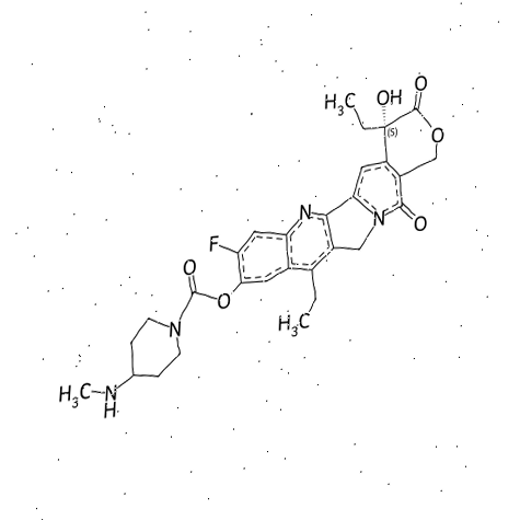 CCc1c2c(nc3cc(F)c(OC(=O)N4CCC(NC)CC4)cc13)-c1cc3c(c(=O)n1C2)COC(=O)[C@]3(O)CC